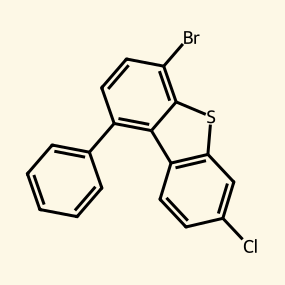 Clc1ccc2c(c1)sc1c(Br)ccc(-c3ccccc3)c12